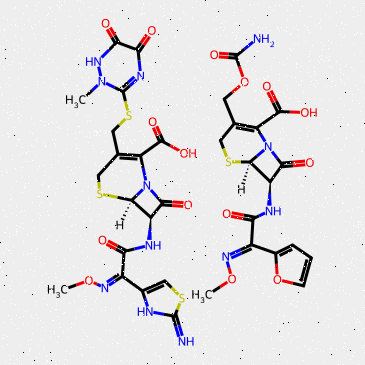 CO/N=C(/C(=O)N[C@@H]1C(=O)N2C(C(=O)O)=C(COC(N)=O)CS[C@H]12)c1ccco1.CO/N=C(\C(=O)N[C@@H]1C(=O)N2C(C(=O)O)=C(CSc3nc(=O)c(=O)[nH]n3C)CS[C@H]12)c1csc(=N)[nH]1